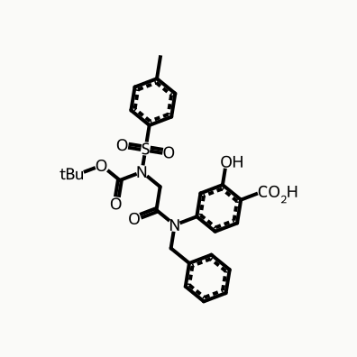 Cc1ccc(S(=O)(=O)N(CC(=O)N(Cc2ccccc2)c2ccc(C(=O)O)c(O)c2)C(=O)OC(C)(C)C)cc1